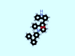 c1ccc(-c2ccccc2-c2ccc(N(c3ccccc3)c3ccccc3-c3cccc(-c4cccc5[nH]c6ccccc6c45)c3)cc2)cc1